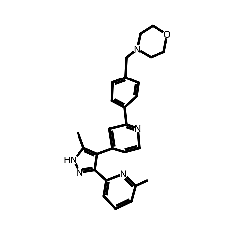 Cc1cccc(-c2n[nH]c(C)c2-c2ccnc(-c3ccc(CN4CCOCC4)cc3)c2)n1